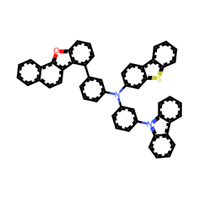 c1cc(-c2cccc3oc4c5ccccc5ccc4c23)cc(N(c2cccc(-n3c4ccccc4c4ccccc43)c2)c2ccc3c(c2)sc2ccccc23)c1